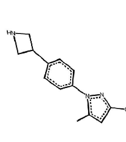 Cc1cc(C(F)(F)F)nn1-c1ccc(C2CNC2)cc1